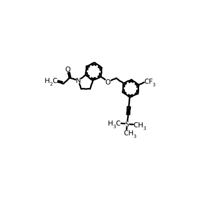 C=CC(=O)N1CCc2c(OCc3cc(C#CS(C)(C)C)cc(C(F)(F)F)c3)cccc21